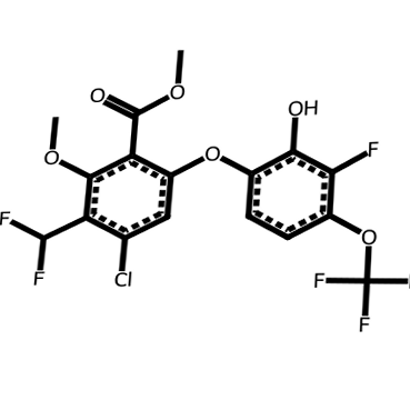 COC(=O)c1c(Oc2ccc(OC(F)(F)F)c(F)c2O)cc(Cl)c(C(F)F)c1OC